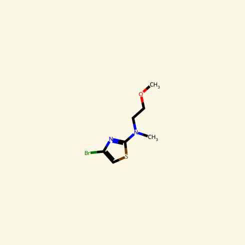 COCCN(C)c1nc(Br)cs1